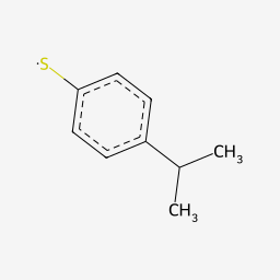 CC(C)c1ccc([S])cc1